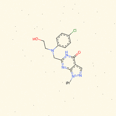 CC(C)n1ncc2c(=O)[nH]c(CN(CCO)c3ccc(Cl)cc3)nc21